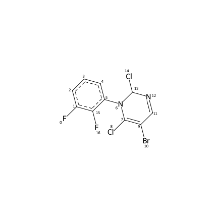 Fc1cccc(N2C(Cl)=C(Br)C=NC2Cl)c1F